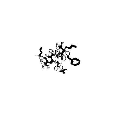 C=CCC[C@@](OCc1ccccc1)(C(=O)NNC(=O)c1nc(O[C@H](C)CC=C)c(C(F)(F)F)cc1NC(=O)OC(C)(C)C)C(F)(F)F